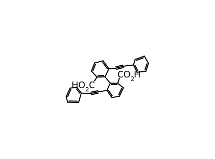 O=C(O)c1cccc(C#Cc2ccccc2)c1-c1c(C#Cc2ccccc2)cccc1C(=O)O